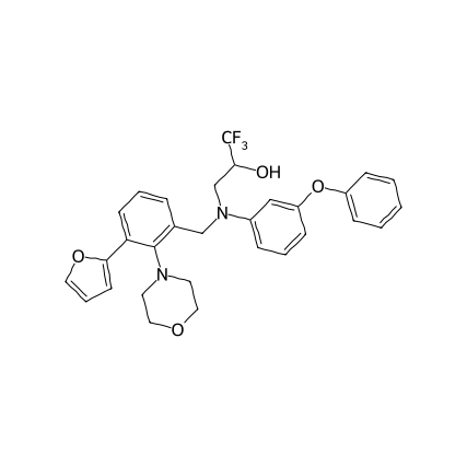 OC(CN(Cc1cccc(-c2ccco2)c1N1CCOCC1)c1cccc(Oc2ccccc2)c1)C(F)(F)F